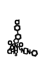 CCOC(=O)C1(NC(=O)CN2CCN(c3ccccc3)CC2)Cc2ccc(-c3ccc(Cl)cc3)cc2C1